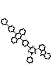 c1ccc(-c2ccc(-c3c4ccccc4c(-c4ccc(-c5nc(-c6ccccc6)nc(-c6cccc7c6sc6ccccc67)n5)cc4)c4ccccc34)cc2)cc1